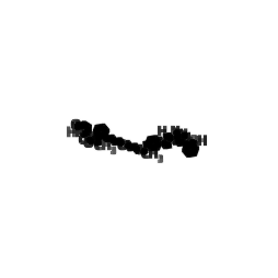 CN(CCCCOCCCCc1cccc2c1n(C)c(=O)n2C1CCC(=O)NC1=O)Cc1ccc(N2CCN(c3cc(-c4ccccc4O)nnc3N)CC2)cc1